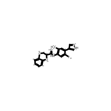 Cc1cc(-c2cn[nH]c2)c(F)cc1NC(=O)C1COc2ccccc2O1